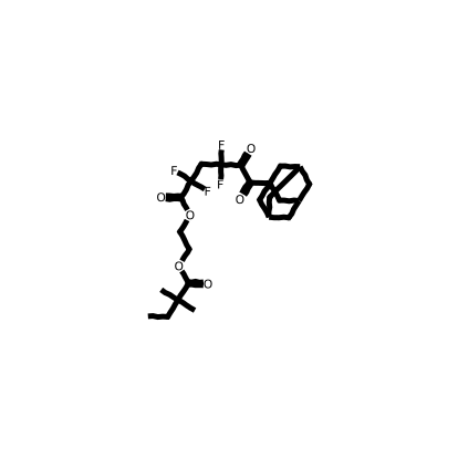 CCC(C)(C)C(=O)OCCOC(=O)C(F)(F)CC(F)(F)C(=O)C(=O)C12CC3CC(CC(C3)C1)C2